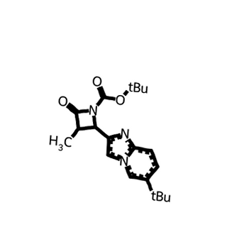 CC1C(=O)N(C(=O)OC(C)(C)C)C1c1cn2cc(C(C)(C)C)ccc2n1